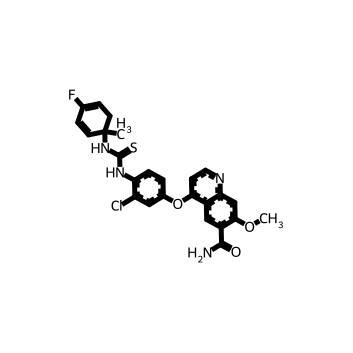 COc1cc2nccc(Oc3ccc(NC(=S)NC4(C)C=CC(F)=CC4)c(Cl)c3)c2cc1C(N)=O